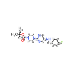 CC(C)(C)OC(=O)N1CCN(c2ncc(NCc3ccc(F)cc3)cn2)CC1